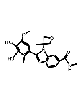 CNC(=O)c1ccc2nc(-c3cc(OC)c(O)c(O)c3C)n(C3(C)COC3)c2c1